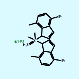 CC1=Cc2c(C(C)C)ccc(C)c2[CH]1[Zr]([CH3])([CH3])(=[SiH2])[CH]1C(C)=Cc2c(C(C)C)ccc(C)c21.Cl.Cl